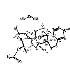 CCC(=O)OCC(=O)[C@@]1(OC(=O)CC)[C@@H](C)C[C@H]2[C@@H]3CCC4=CC(=O)C=C[C@]4(C)C3(Cl)[C@@H](O)C[C@@]21C.CCOC(=O)O